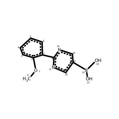 COc1ccccc1-c1ncc(B(O)O)cn1